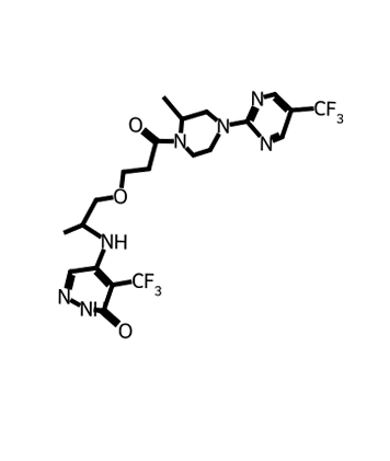 CC(COCCC(=O)N1CCN(c2ncc(C(F)(F)F)cn2)CC1C)Nc1cn[nH]c(=O)c1C(F)(F)F